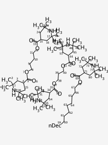 CC1(C)CC(C(=O)OCCCCOC(=O)C2CC(C)(C)NC(C)(C)C2)CC(C)(C)N1.CC1(C)CC(C(=O)OCCCOC(=O)C2CC(C)(C)NC(C)(C)C2)CC(C)(C)N1.CCCCCCCCCCCCCCCCCCOC(=O)C1CC(C)(C)NC(C)(C)C1